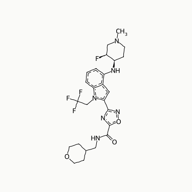 CN1CC[C@@H](Nc2cccc3c2cc(-c2noc(C(=O)NCC4CCOCC4)n2)n3CC(F)(F)F)[C@@H](F)C1